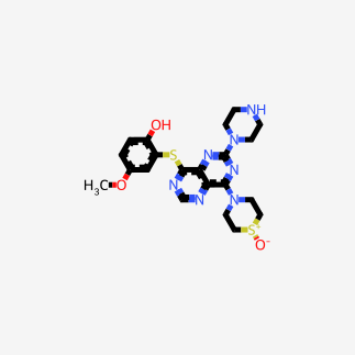 COc1ccc(O)c(Sc2ncnc3c(N4CC[S+]([O-])CC4)nc(N4CCNCC4)nc23)c1